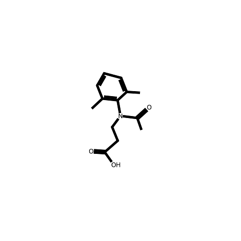 CC(=O)N(CCC(=O)O)c1c(C)cccc1C